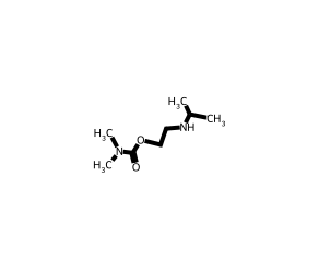 CC(C)NCCOC(=O)N(C)C